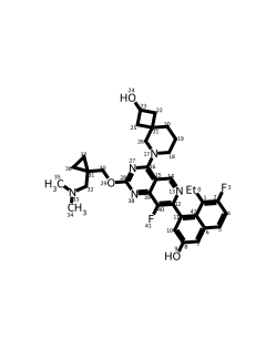 CCc1c(F)ccc2cc(O)cc(-c3ncc4c(N5CCCC6(CC(O)C6)C5)nc(OCC5(CN(C)C)CC5)nc4c3F)c12